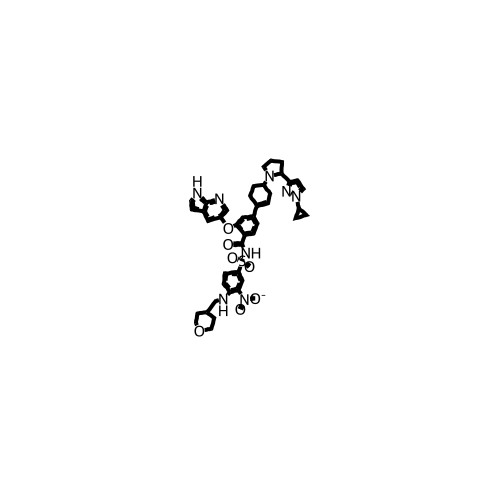 O=C(NS(=O)(=O)c1ccc(NCC2CCOCC2)c([N+](=O)[O-])c1)c1ccc(C2=CCC(N3CCCC3c3ccn(C4CC4)n3)CC2)cc1Oc1cnc2[nH]ccc2c1